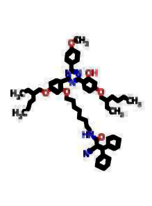 CCCCC(CC)COc1ccc(-c2nc(-c3ccc(OC)cc3)nc(-c3ccc(OCC(CC)CCCC)cc3OCCCCCCCCNC(=O)C(C#N)=C(c3ccccc3)c3ccccc3)n2)c(O)c1